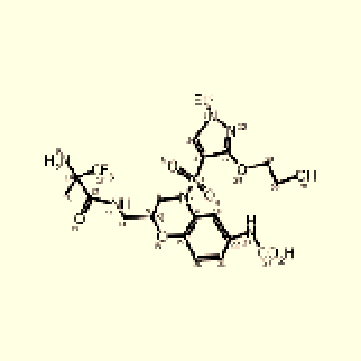 CCn1cc(S(=O)(=O)N2C[C@H](CNC(=O)C(C)(N)C(F)(F)F)Oc3ccc(NC(=O)O)cc32)c(OCCO)n1